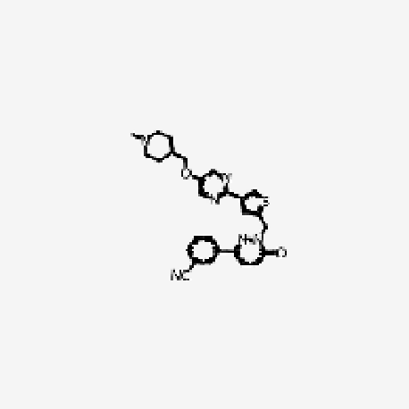 CN1CCC(COc2cnc(-c3csc(Cn4nc(-c5cccc(C#N)c5)ccc4=O)c3)nc2)CC1